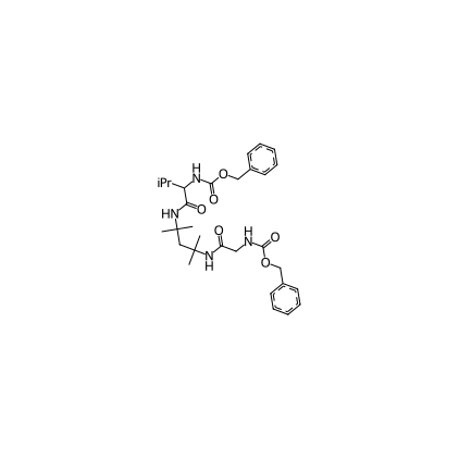 CC(C)C(NC(=O)OCc1ccccc1)C(=O)NC(C)(C)CC(C)(C)NC(=O)CNC(=O)OCc1ccccc1